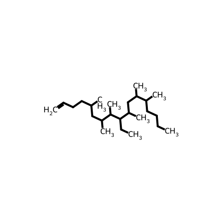 C=CCCC(C)CC(C)C(C)C(CC)C(C)CC(C)C(C)CCCC